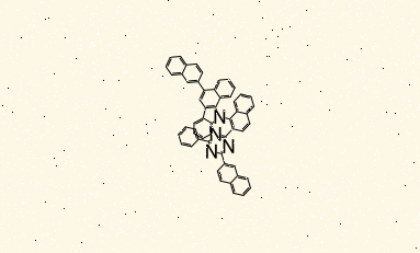 c1ccc(-c2nc(-c3ccc4ccccc4c3)nc(-c3ccc4ccccc4c3-n3c4ccccc4c4cc(-c5ccc6ccccc6c5)c5ccccc5c43)n2)cc1